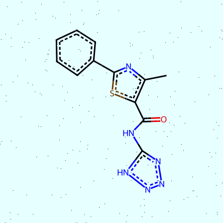 Cc1nc(-c2ccccc2)sc1C(=O)Nc1nnn[nH]1